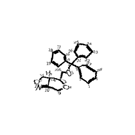 c1ccc(C(OC[C@H]2OCC3=NOC[C@H]32)(c2ccccc2)c2ccccc2)cc1